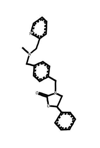 CN(Cc1ccc(CN2CC(c3ccccc3)OC2=O)cc1)Cc1ccccn1